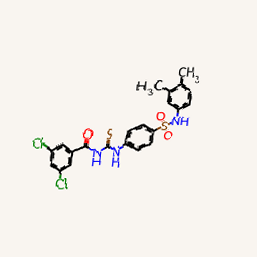 Cc1ccc(NS(=O)(=O)c2ccc(NC(=S)NC(=O)c3cc(Cl)cc(Cl)c3)cc2)cc1C